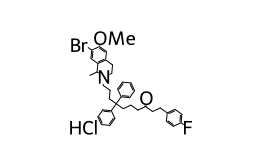 COc1cc2c(cc1Br)C(C)N(CCCC(CCCC(=O)CCc1ccc(F)cc1)(c1ccccc1)c1ccccc1)CC2.Cl